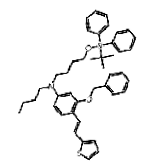 CCCCN(CCCCO[Si](c1ccccc1)(c1ccccc1)C(C)(C)C)c1ccc(/C=C/c2cccs2)c(OCc2ccccc2)c1